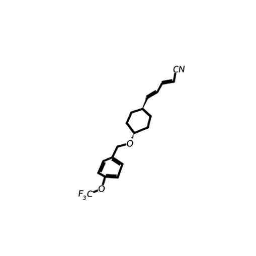 N#CC=CC=C[C@H]1CC[C@H](OCc2ccc(OC(F)(F)F)cc2)CC1